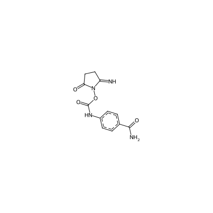 N=C1CCC(=O)N1OC(=O)Nc1ccc(C(N)=O)cc1